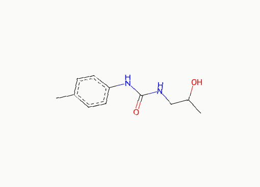 Cc1ccc(NC(=O)NCC(C)O)cc1